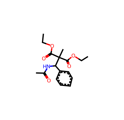 CCOC(=O)C(C)(C(=O)OCC)C(NC(C)=O)c1ccccc1